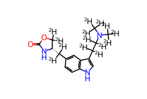 [2H]C1([2H])OC(=O)N[C@H]1C([2H])([2H])c1ccc2[nH]cc(C([2H])([2H])C([2H])([2H])N(C([2H])([2H])[2H])C([2H])([2H])[2H])c2c1